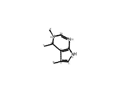 Cc1c[nH]c2c1C(C)N(C)C=N2